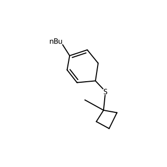 CCCCC1=CCC(SC2(C)CCC2)C=C1